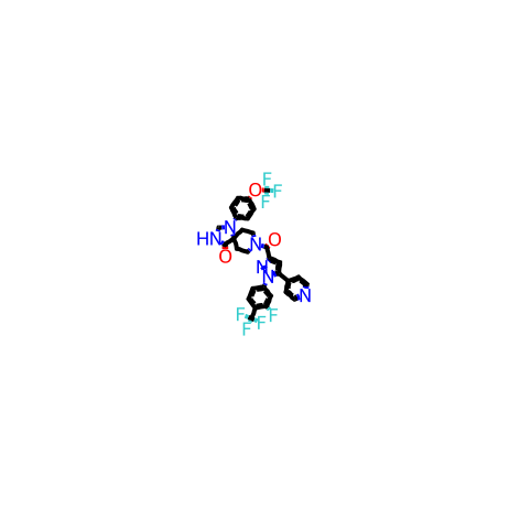 O=C(c1cc(-c2ccncc2)n(-c2ccc(C(F)(F)F)c(F)c2)n1)N1CCC2(CC1)C(=O)NCN2c1ccc(OC(F)(F)F)cc1